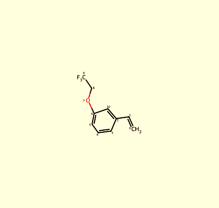 C=Cc1cccc(OCC(F)(F)F)c1